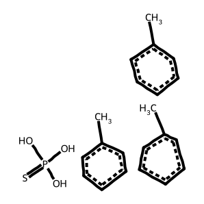 Cc1ccccc1.Cc1ccccc1.Cc1ccccc1.OP(O)(O)=S